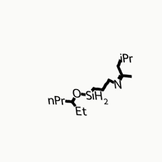 CCCC(CC)O[SiH2]CCCN=C(C)CC(C)C